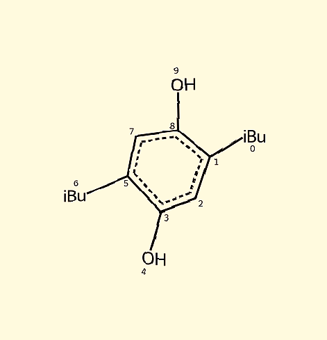 CCC(C)c1cc(O)c(C(C)CC)cc1O